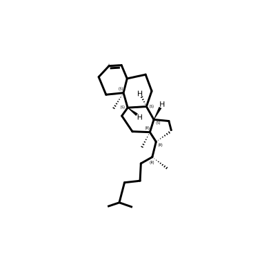 CC(C)CCC[C@@H](C)[C@H]1CC[C@H]2[C@@H]3CCC4C=[C]CC[C@]4(C)[C@H]3CC[C@]12C